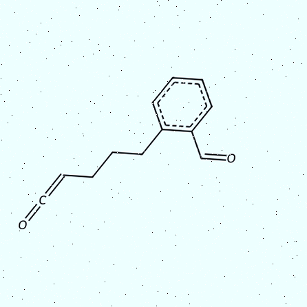 O=C=CCCCc1ccccc1C=O